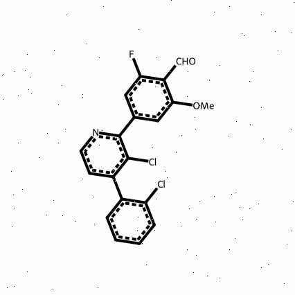 COc1cc(-c2nccc(-c3cc[c]cc3Cl)c2Cl)cc(F)c1C=O